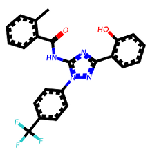 Cc1ccccc1C(=O)Nc1nc(-c2ccccc2O)nn1-c1ccc(C(F)(F)F)cc1